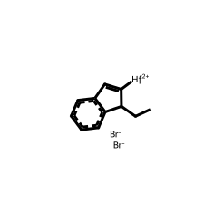 CCC1[C]([Hf+2])=Cc2ccccc21.[Br-].[Br-]